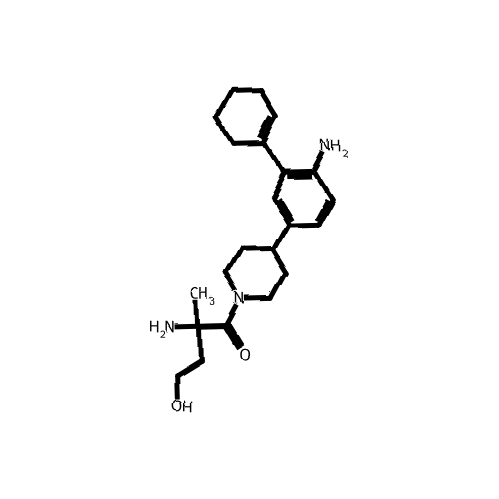 CC(N)(CCO)C(=O)N1CCC(c2ccc(N)c(C3=CCCCC3)c2)CC1